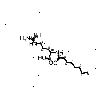 CCCCCCCC(=O)NC(CCCNC(=N)N)C(=O)O